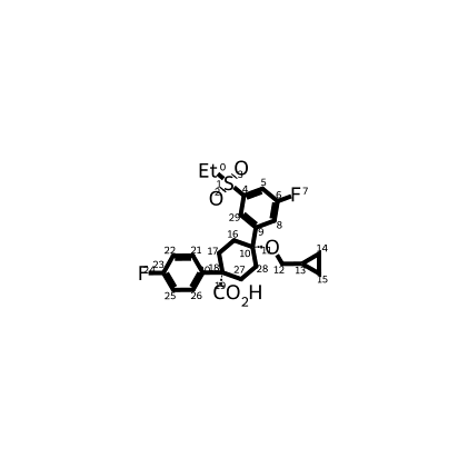 CCS(=O)(=O)c1cc(F)cc([C@]2(OCC3CC3)CC[C@](C(=O)O)(c3ccc(F)cc3)CC2)c1